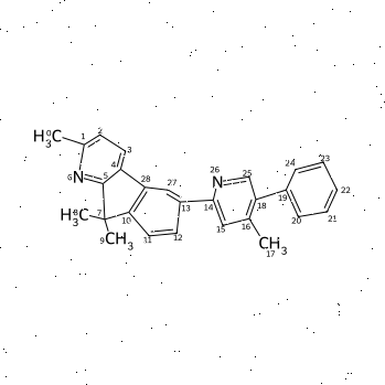 Cc1ccc2c(n1)C(C)(C)c1ccc(-c3cc(C)c(-c4ccccc4)cn3)cc1-2